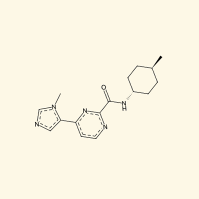 Cn1cncc1-c1ccnc(C(=O)N[C@H]2CC[C@H](C)CC2)n1